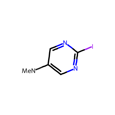 CNc1cnc(I)nc1